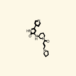 O=C(/C=C/CN1CCCC1)N1CCCC(Nc2cc(-c3ccncc3)c[nH]c2=O)C1